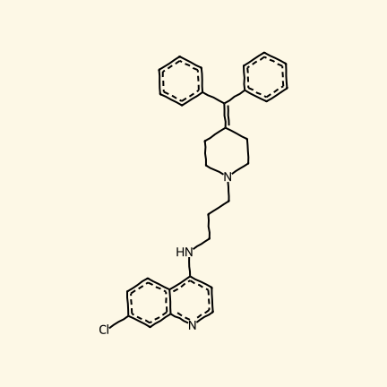 Clc1ccc2c(NCCCN3CCC(=C(c4ccccc4)c4ccccc4)CC3)ccnc2c1